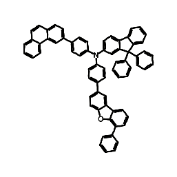 c1ccc(-c2cccc3c2oc2ccc(-c4ccc(N(c5ccc(-c6ccc7ccc8ccccc8c7c6)cc5)c5ccc6c(c5)C(c5ccccc5)(c5ccccc5)c5ccccc5-6)cc4)cc23)cc1